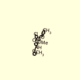 COc1cc(NCCOc2ccccc2C)ccc1C(=O)N1CCCC(CC(=O)N2CCN(C)CC2)c2cc(Cl)ccc21